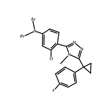 CC(=O)N(c1ccc(-c2nnc(C3(c4ccc(F)cc4)CC3)n2C)c(Cl)c1)C(C)C